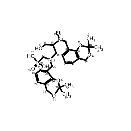 CCN(Cc1cccc2c1OC(C)(C)OC2)C(CO)CN(Cc1cccc2c1OC(C)(C)OC2)CP(=O)(O)O